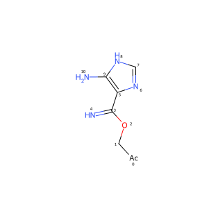 CC(=O)COC(=N)c1nc[nH]c1N